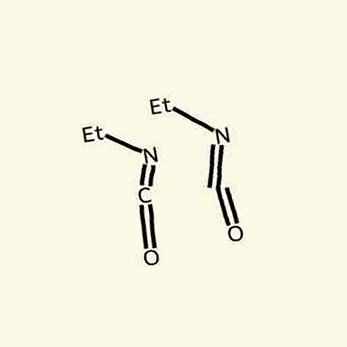 CCN=C=O.[CH2]CN=C=O